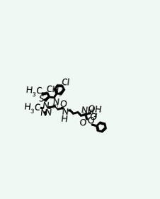 Cc1sc2c(c1C)C(c1ccc(Cl)cc1)=N[C@@H](CC(=O)NCCCC[C@](N)(C(=O)O)C(=O)OCc1ccccc1)c1nnc(C)n1-2